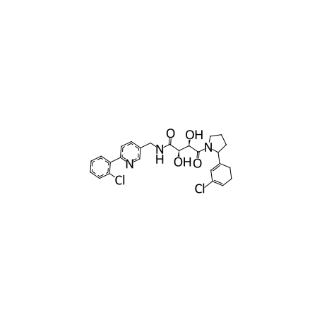 O=C(NCc1ccc(-c2ccccc2Cl)nc1)[C@H](O)[C@@H](O)C(=O)N1CCCC1C1=CC(Cl)=CCC1